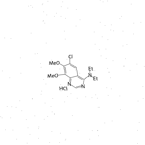 CCN(CC)c1ncnc2c(OC)c(OC)c(Cl)cc12.Cl